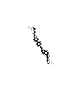 CCCCCCCc1ccc(-c2ccc(C#Cc3ccc4cc(OCCCC)ccc4c3)cc2)cc1